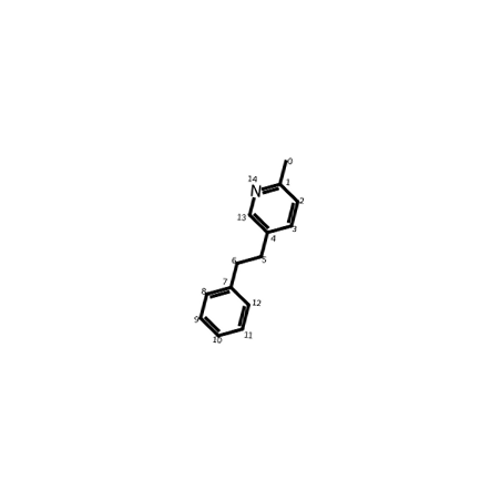 Cc1ccc(CCc2ccccc2)cn1